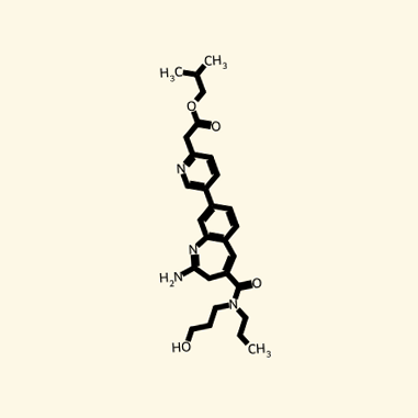 CCCN(CCCO)C(=O)C1=Cc2ccc(-c3ccc(CC(=O)OCC(C)C)nc3)cc2N=C(N)C1